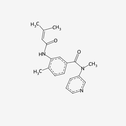 CC(C)=CC(=O)Nc1cc(C(=O)N(C)c2cccnc2)ccc1C